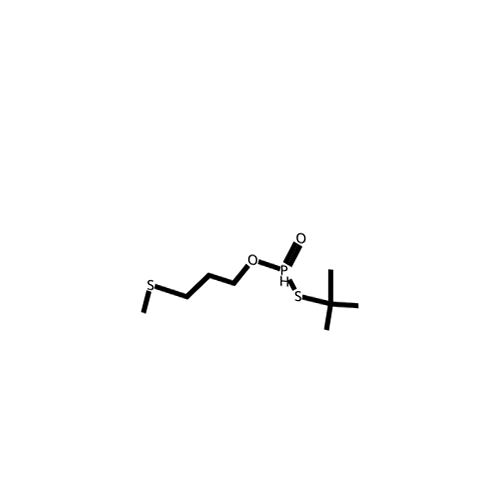 CSCCCO[PH](=O)SC(C)(C)C